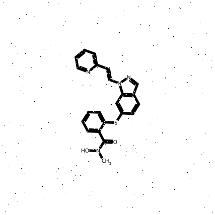 CN(O)C(=O)c1ccccc1Sc1ccc2cnn(C=Cc3ccccn3)c2c1